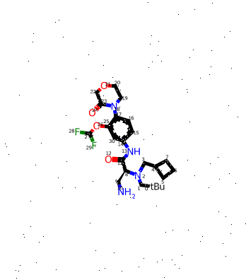 CC(C)(C)CN(CC1CCC1)[C@@H](CN)C(=O)Nc1ccc(N2CCOCC2=O)c(OC(F)F)c1